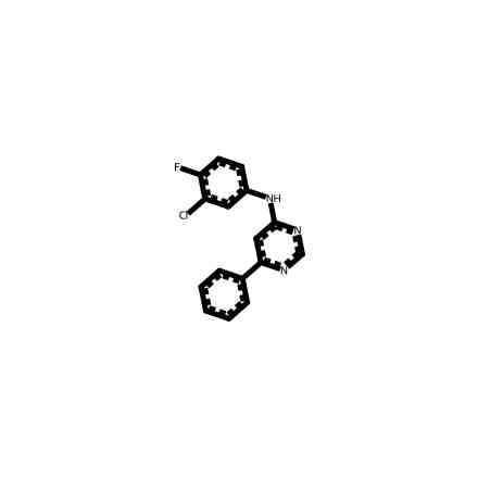 Fc1ccc(Nc2cc(-c3ccccc3)ncn2)cc1Cl